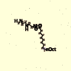 CCCCCCCC/C=C\CCCCCCCC(=O)ONCCNCCN